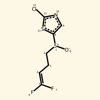 [O-][S+](CCC=C(F)F)c1cnc(Cl)s1